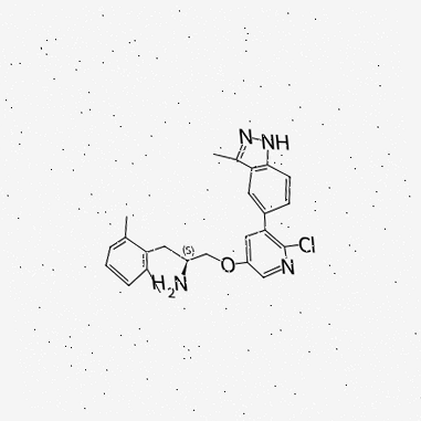 Cc1cccc(C)c1C[C@H](N)COc1cnc(Cl)c(-c2ccc3[nH]nc(C)c3c2)c1